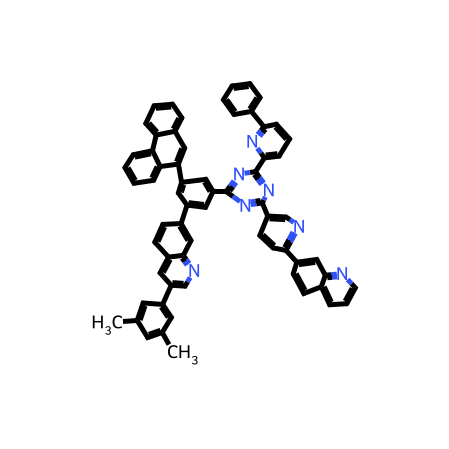 Cc1cc(C)cc(-c2cnc3cc(-c4cc(-c5nc(-c6ccc(-c7ccc8cccnc8c7)nc6)nc(-c6cccc(-c7ccccc7)n6)n5)cc(-c5cc6ccccc6c6ccccc56)c4)ccc3c2)c1